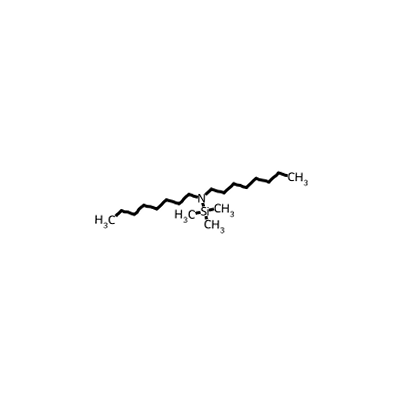 CCCCCCCCN(CCCCCCCC)[Si](C)(C)C